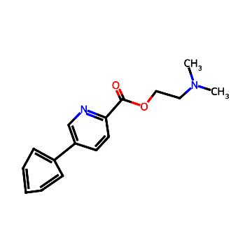 CN(C)CCOC(=O)c1ccc(-c2ccccc2)cn1